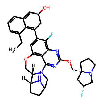 CCc1cccc2c1=C(c1cc3c4c(nc(OC[C@]56CCCN5C[C@H](F)C6)nc4c1F)N1CC4CC[C@@H](N4)[C@@H]1CO3)CC(O)C=2